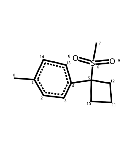 Cc1ccc(C2(S(C)(=O)=O)CCC2)cc1